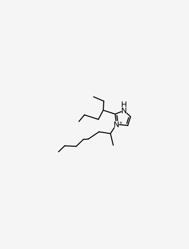 CCCCCCC(C)[n+]1cc[nH]c1C(CC)CCC